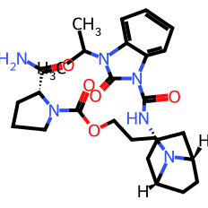 CC(C)n1c(=O)n(C(=O)N[C@H]2C[C@H]3CC[C@@H](C2)N3CCCOC(=O)N2CCC[C@@H]2C(N)=O)c2ccccc21